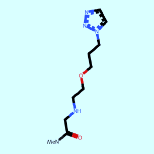 CNC(=O)CNCCOCCCn1ccnn1